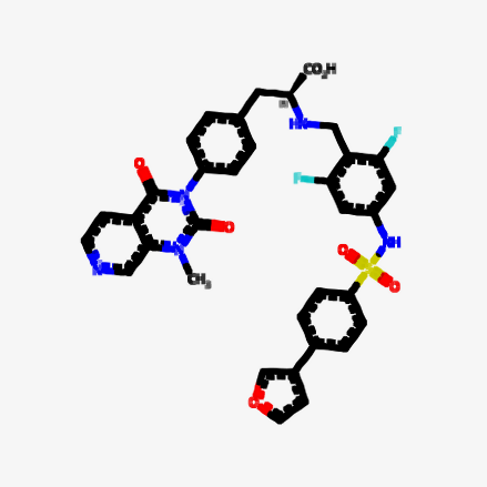 Cn1c(=O)n(-c2ccc(C[C@H](NCc3c(F)cc(NS(=O)(=O)c4ccc(-c5ccoc5)cc4)cc3F)C(=O)O)cc2)c(=O)c2ccncc21